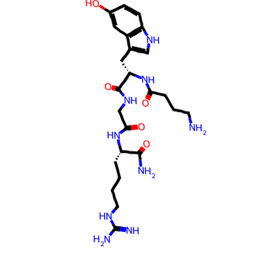 N=C(N)NCCCC[C@H](NC(=O)CNC(=O)[C@H](Cc1c[nH]c2ccc(O)cc12)NC(=O)CCCN)C(N)=O